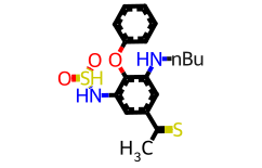 CCCCNc1cc(C(C)=S)cc(N[SH](=O)=O)c1Oc1ccccc1